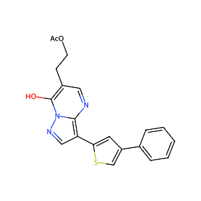 CC(=O)OCCc1cnc2c(-c3cc(-c4ccccc4)cs3)cnn2c1O